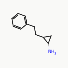 N[C@H]1CC1CCc1ccccc1